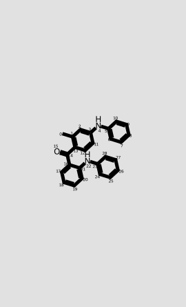 Cc1cc(Nc2ccccc2)ccc1C(=O)c1ccccc1Nc1ccccc1